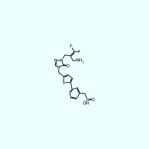 NCC(Cn1ncn(Cc2ccc(-c3cccc(C[SH](=O)=O)c3)s2)c1=O)=C(F)F